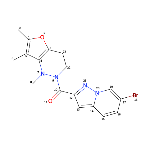 Cc1oc2c(c1C)N(C)N(C(=O)c1cc3ccc(Br)cn3n1)CC2